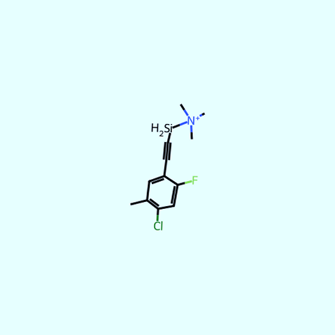 Cc1cc(C#C[SiH2][N+](C)(C)C)c(F)cc1Cl